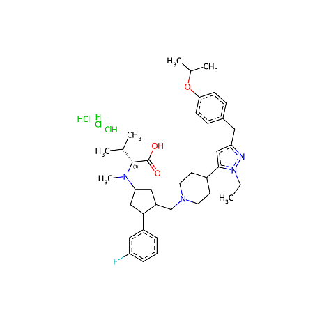 CCn1nc(Cc2ccc(OC(C)C)cc2)cc1C1CCN(CC2CC(N(C)[C@@H](C(=O)O)C(C)C)CC2c2cccc(F)c2)CC1.Cl.Cl.Cl